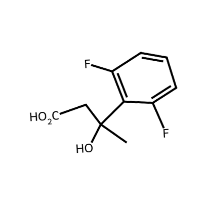 CC(O)(CC(=O)O)c1c(F)cccc1F